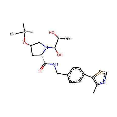 Cc1ncsc1-c1ccc(CNC(=O)[C@@H]2CC(O[Si](C)(C)C(C)(C)C)CN2C(O)[C@@H](O)C(C)(C)C)cc1